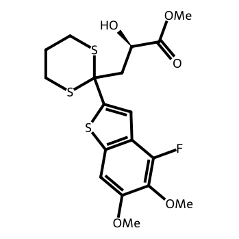 COC(=O)[C@H](O)CC1(c2cc3c(F)c(OC)c(OC)cc3s2)SCCCS1